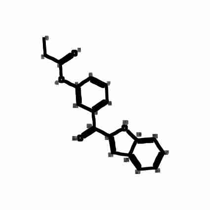 CCC(=O)Oc1cccc(C(=O)c2cc3ccccc3o2)c1